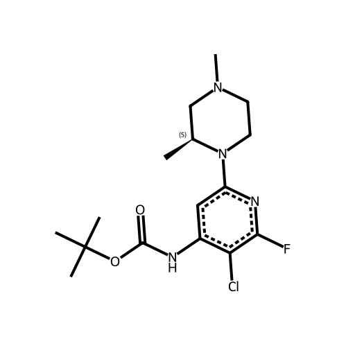 C[C@H]1CN(C)CCN1c1cc(NC(=O)OC(C)(C)C)c(Cl)c(F)n1